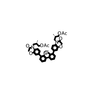 CC(=O)OC[C@@H](C)CN1C(=O)COc2cc(-c3cccc(-c4cccc(-c5ccc6c(c5)OCC(=O)N6C[C@H](C)COC(C)=O)c4Cl)c3Cl)ccc21